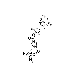 CSc1nc(-c2cc(F)c(OCC(=O)N3CCN(C4OC4OC(C)(C)C)CC3)c(F)c2)c2c(n1)C(F)(F)CC2